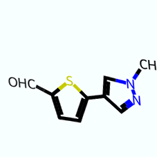 Cn1cc(-c2ccc(C=O)s2)cn1